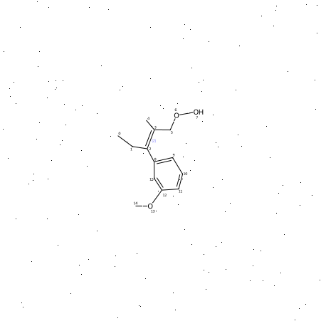 CC/C(=C(\C)COO)c1cccc(OC)c1